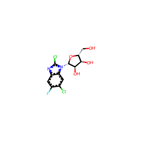 OC[C@H]1O[C@@H](n2c(Cl)nc3cc(F)c(Cl)cc32)[C@H](O)[C@@H]1O